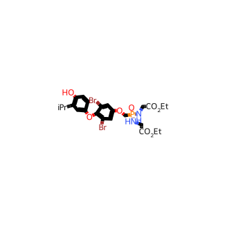 CCOC(=O)CNP(=O)(COc1cc(Br)c(Oc2ccc(O)c(C(C)C)c2)c(Br)c1)NCC(=O)OCC